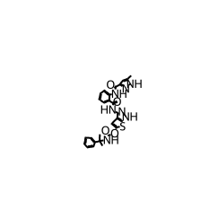 Cc1cc(C(=O)Nc2ccccc2C(=O)Nc2n[nH]c3sc(OC(=O)NC(C)(C)c4ccccc4)cc23)n[nH]1